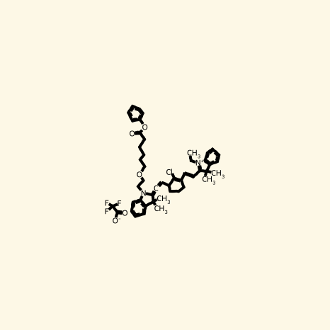 CC[N+]1=C(/C=C/C2=C(Cl)C(C=C=C3N(CCOCCCCCC(=O)Oc4ccccc4)c4ccccc4C3(C)C)CCC2)C(C)(C)c2ccccc21.O=C([O-])C(F)(F)F